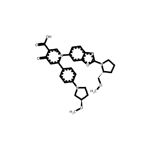 COC[C@H]1CCCN1c1nc2ccc(-n3cc(C(=O)O)c(=O)cc3-c3ccc(N4CC[C@@H](OC)C4)cc3)cc2o1